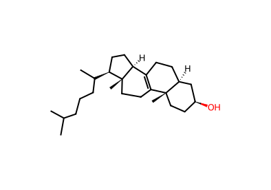 CC(C)CCCC(C)[C@H]1CC[C@H]2C3=C(CC[C@]12C)[C@@]1(C)CC[C@H](O)C[C@@H]1CC3